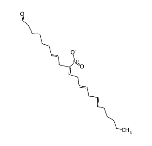 CCCCC/C=C/C/C=C/C/C=C(/C/C=C/CCCCC[C]=O)[N+](=O)[O-]